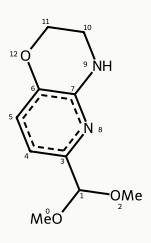 COC(OC)c1ccc2c(n1)NCCO2